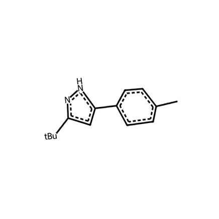 Cc1ccc(-c2cc(C(C)(C)C)n[nH]2)cc1